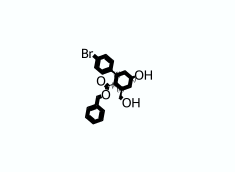 O=C(OCc1ccccc1)[C@H]1[C@H](CO)C[C@H](O)C[C@@H]1c1ccc(Br)cc1